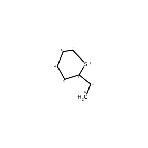 [CH2]CC1CCCCS1